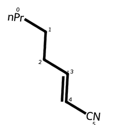 CCCCC/[C]=C/C#N